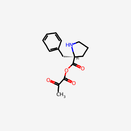 CC(=O)C(=O)OC(=O)[C@]1(Cc2ccccc2)CCCN1